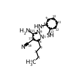 CCCCc1nn(Nc2ccccc2S)c(N)c1C#N